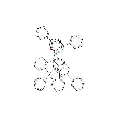 c1ccc(-c2ccc(N(c3cc(-c4ccccc4)cc(-c4ccccc4)c3)c3cccc4c3C3(c5ccccc5-c5ccc(-c6ccccc6)cc53)c3ccccc3-4)cc2)cc1